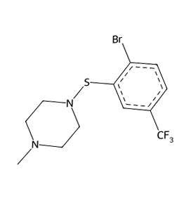 CN1CCN(Sc2cc(C(F)(F)F)ccc2Br)CC1